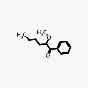 CCCCC(OC)C(=O)c1ccccc1